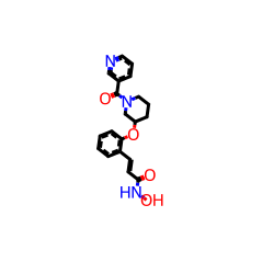 O=C(/C=C/c1ccccc1OC1CCCN(C(=O)c2cccnc2)C1)NO